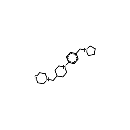 c1cc(N2CCC(CN3CCSCC3)CC2)ccc1CN1CCCC1